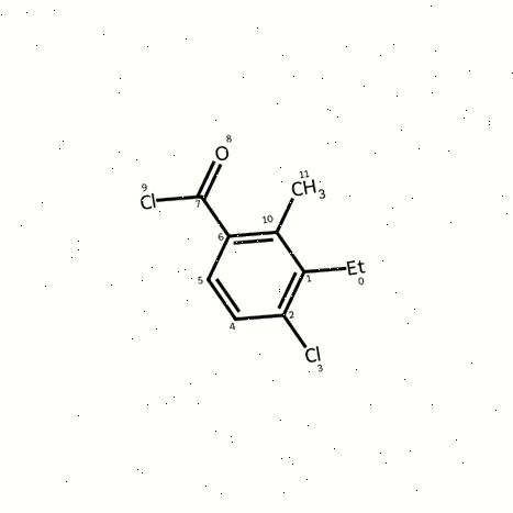 CCc1c(Cl)ccc(C(=O)Cl)c1C